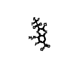 Nc1c(F)c([N+](=O)[O-])cc2nc(Cl)c(S(=O)(=O)C(F)(F)F)nc12